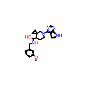 COc1cccc(CNC(O)C2CCN(c3ncnc4[nH]ccc34)CC23CC3)c1